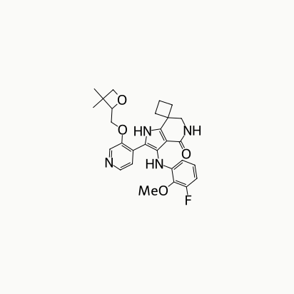 COc1c(F)cccc1Nc1c(-c2ccncc2OCC2OCC2(C)C)[nH]c2c1C(=O)NCC21CCC1